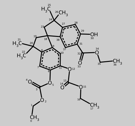 CCOC(=O)Oc1cc2c(cc1OC(=O)OCC)C1(CC2(C)C)CC(C)(C)c2cc(O)c(C(=O)OCC)cc21